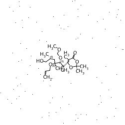 C=CCO[C@](C)(C[C@@H](C)CO)[C@H](OCOC)[C@@H](C)C1=C(C)C(=O)OC(C)(C)O1